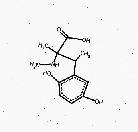 CC(c1cc(O)ccc1O)C(C)(NN)C(=O)O